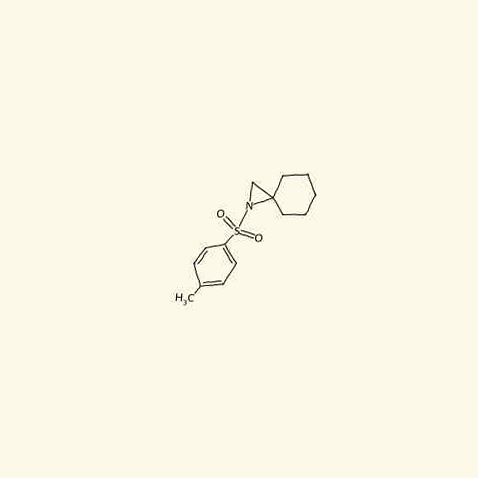 Cc1ccc(S(=O)(=O)N2CC23CCCCC3)cc1